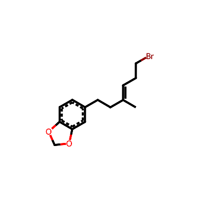 CC(=CCCBr)CCc1ccc2c(c1)OCO2